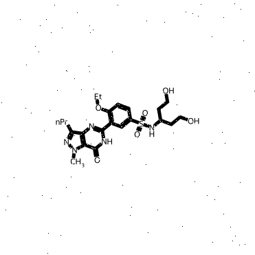 CCCc1nn(C)c2c(=O)[nH]c(-c3cc(S(=O)(=O)NC(CCO)CCO)ccc3OCC)nc12